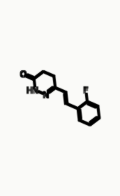 O=C1CCC(C=Cc2ccccc2F)=NN1